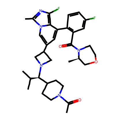 CC(=O)N1CCC([C@@H](C(C)C)N2CC(c3cc(-c4ccc(F)cc4C(=O)N4CCOC[C@H]4C)c4c(F)nc(C)n4c3)C2)CC1